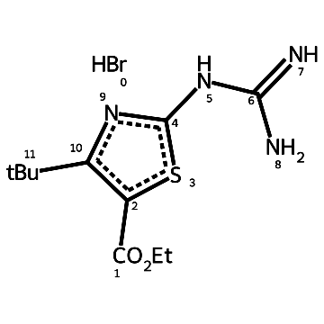 Br.CCOC(=O)c1sc(NC(=N)N)nc1C(C)(C)C